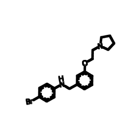 Brc1ccc(NCc2cccc(OCCN3CCCC3)c2)cc1